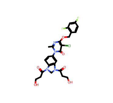 Cc1nc(OCc2ccc(F)cc2F)c(Cl)c(=O)n1-c1ccc2c(c1)N(C(=O)CCO)CN2C(=O)CCO